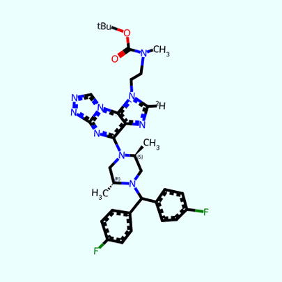 [2H]c1nc2c(N3C[C@@H](C)N(C(c4ccc(F)cc4)c4ccc(F)cc4)C[C@@H]3C)nc3nncn3c2n1CCN(C)C(=O)OC(C)(C)C